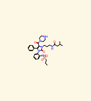 CCCS(=O)(=O)Nc1ccccc1-n1c(-c2ccccc2)c(C(=O)N2CCNCC2)n(CCCNC(=O)CC(C)C)c1=O